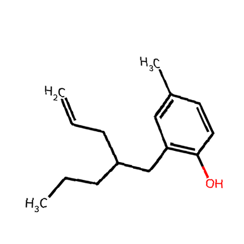 C=CCC(CCC)Cc1cc(C)ccc1O